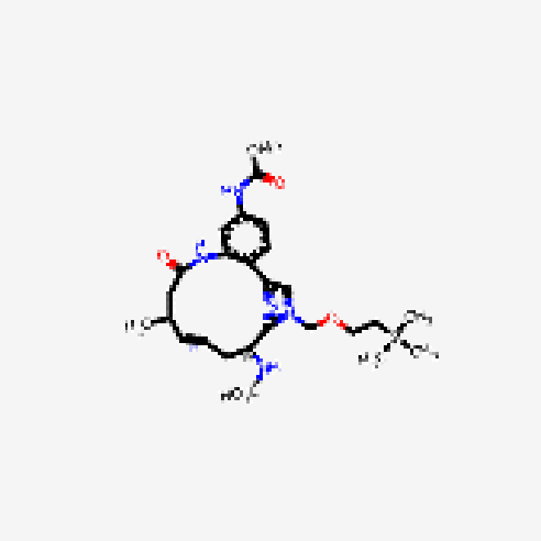 COC(=O)Nc1ccc2c(c1)NC(=O)CC(C)/C=C/C[C@H](NC(=O)O)c1nc-2cn1COCC[Si](C)(C)C